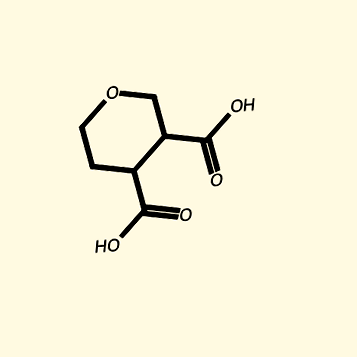 O=C(O)C1CCOCC1C(=O)O